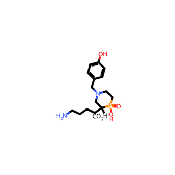 NCCCCC1(C(=O)O)CN(Cc2ccc(O)cc2)CCP1(=O)O